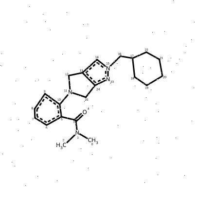 CN(C)C(=O)c1ccccc1N1Cc2cn(CC3CCCCC3)nc2C1